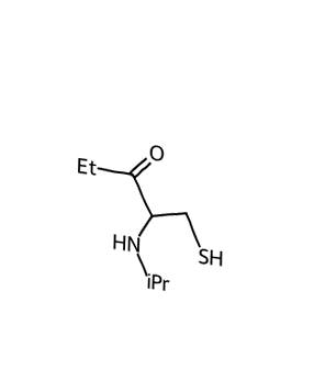 CCC(=O)C(CS)NC(C)C